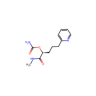 CNC(=O)[C@H](CCCc1ccccn1)OC(N)=O